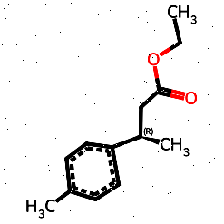 CCOC(=O)C[C@@H](C)c1ccc(C)cc1